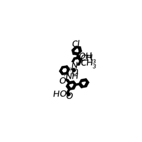 CC1(C)CN(C(=O)[C@H]2CCCC[C@H]2NC(=O)c2cc(C(=O)O)cc(-c3ccccc3)c2)CC[C@]1(O)c1ccc(Cl)cc1